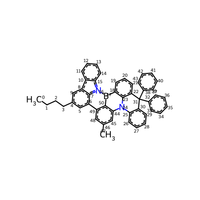 CCCCc1cc2c3c(c1)c1ccccc1n3B1c3cccc4c3N(c3ccccc3C4(c3ccccc3)c3ccccc3)c3cc(C)cc-2c31